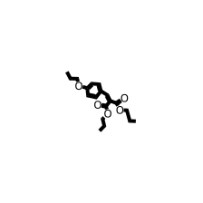 CCCOC(=O)C(=Cc1ccc(OCCC)cc1)C(=O)OCCC